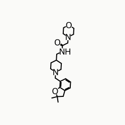 CC1(C)Cc2cccc(CN3CCC(CNC(=O)CN4CCOCC4)CC3)c2O1